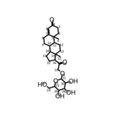 CC12CCC(=O)C=C1CCC1C2CCC2(C)C(C(=O)COC3OC(CO)C(O)C(O)C3O)CCC12